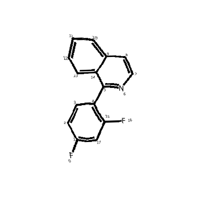 Fc1ccc(-c2nccc3ccccc23)c(F)c1